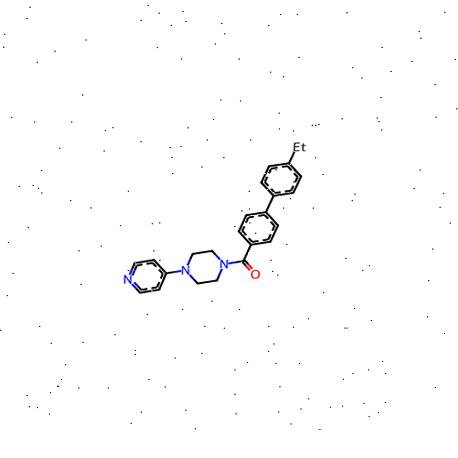 CCc1ccc(-c2ccc(C(=O)N3CCN(c4ccncc4)CC3)cc2)cc1